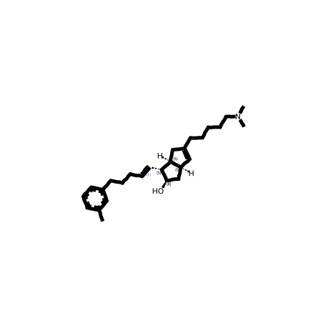 Cc1cccc(CCC/C=C/[C@@H]2[C@H]3CC(CCCCCN(C)C)=C[C@H]3C[C@H]2O)c1